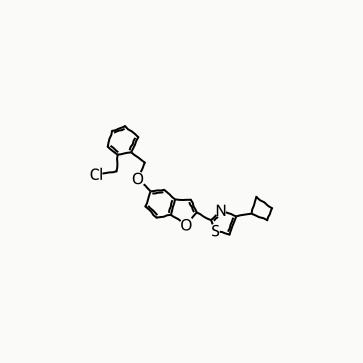 ClCc1ccccc1COc1ccc2oc(-c3nc(C4CCC4)cs3)cc2c1